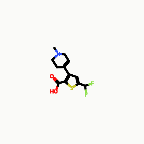 CN1CC=C(c2cc(C(F)F)sc2C(=O)O)CC1